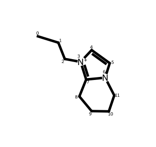 CCC[n+]1ccn2c1CCCC2